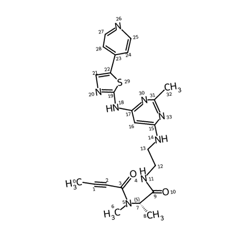 CC#CC(=O)N(C)[C@@H](C)C(=O)NCCNc1cc(Nc2ncc(-c3ccncc3)s2)nc(C)n1